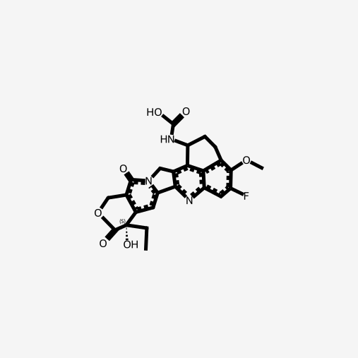 CC[C@@]1(O)C(=O)OCc2c1cc1n(c2=O)Cc2c-1nc1cc(F)c(OC)c3c1c2C(NC(=O)O)CC3